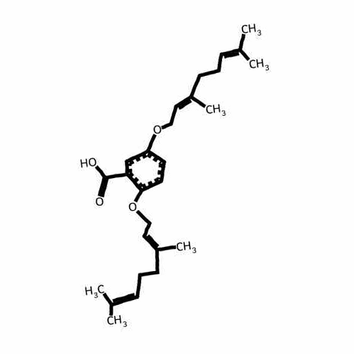 CC(C)=CCC/C(C)=C/COc1ccc(OC/C=C(\C)CCC=C(C)C)c(C(=O)O)c1